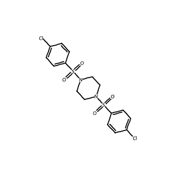 O=S(=O)(c1ccc(Cl)cc1)N1CCN(S(=O)(=O)c2ccc(Cl)cc2)CC1